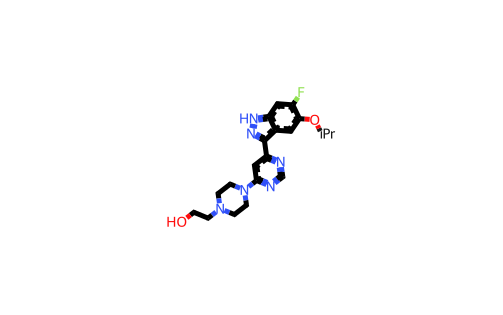 CC(C)Oc1cc2c(-c3cc(N4CCN(CCO)CC4)ncn3)n[nH]c2cc1F